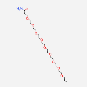 CCCOCCOCCOCCOCCOCCOCCOCCOCCOCCC(N)=O